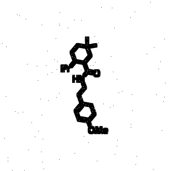 COC1=CC=C(CCNC(=O)C2CC(C)(C)CCC2C(C)C)CC1